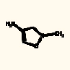 CN1CC(N)=CO1